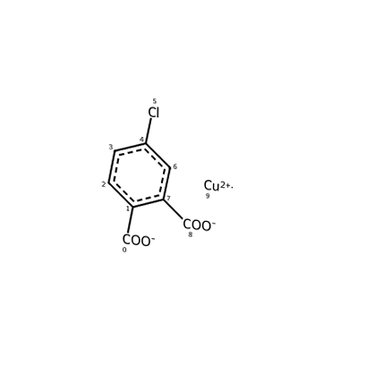 O=C([O-])c1ccc(Cl)cc1C(=O)[O-].[Cu+2]